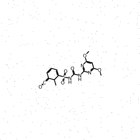 COc1cc(OC)nc(NC(=O)NS(=O)(=O)C2=CC=CC(=C=O)C2C)n1